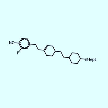 CCCCCCCC1CCC(CCC2CC=C(CCc3ccc(C#N)c(F)c3)CC2)CC1